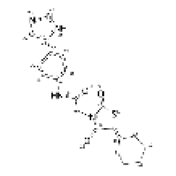 O=C(CN1C(=O)SC(=C2CCCCC2)C1=O)Nc1ccc(-c2cnn[nH]2)cc1